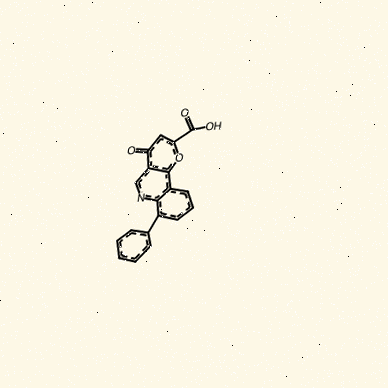 O=C(O)c1cc(=O)c2cnc3c(-c4ccccc4)cccc3c2o1